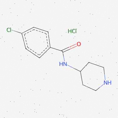 Cl.O=C(NC1CCNCC1)c1ccc(Cl)cc1